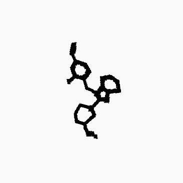 N#Cc1ccc(Cn2c(N3CCC[C@H](N)C3)nc3ccccc32)c(F)c1